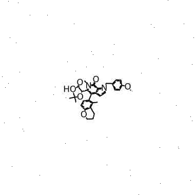 COc1ccc(Cn2ccc3c(-c4ccc5c(c4C)CCCO5)c([C@H](OC(C)(C)C)C(=O)O)n(C)c(=O)c32)cc1